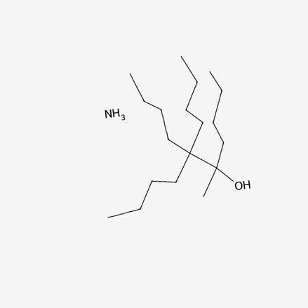 CCCCC(C)(O)C(CCCC)(CCCC)CCCC.N